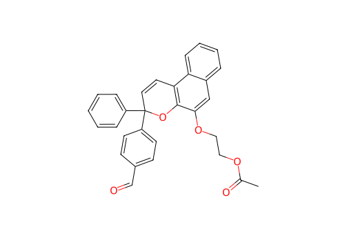 CC(=O)OCCOc1cc2ccccc2c2c1OC(c1ccccc1)(c1ccc(C=O)cc1)C=C2